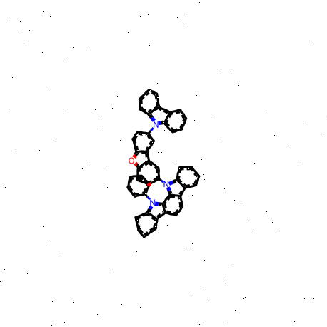 c1ccc(-n2c3ccccc3c3ccc4c5ccccc5n(-c5ccc6oc7ccc(-n8c9ccccc9c9ccccc98)cc7c6c5)c4c32)cc1